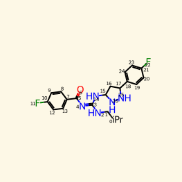 CC(C)CN/C(=N/C(=O)c1ccc(F)cc1)NC1CC(c2ccc(F)cc2)NN1